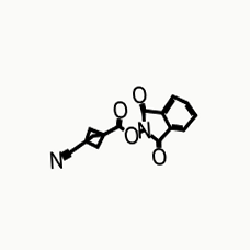 N#CC12CC(C(=O)ON3C(=O)c4ccccc4C3=O)(C1)C2